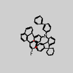 Fc1cccc(-c2cccc3cccc(-c4cccc(N(c5cccc(-c6ccccc6)c5)c5cccc6c5-c5ccccc5C65CCCCC5)c4)c23)c1